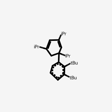 CC(C)C1=CC(c2cccc(C(C)(C)C)c2C(C)(C)C)(C(C)C)CC(C(C)C)=C1